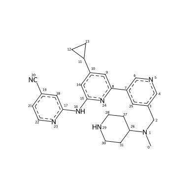 CN(Cc1cncc(-c2cc(C3CC3)cc(Nc3cc(C#N)ccn3)n2)c1)C1CCNCC1